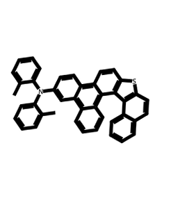 Cc1ccccc1N(c1ccc2c(c1)c1ccccc1c1c2ccc2sc3ccc4ccccc4c3c21)c1ccccc1C